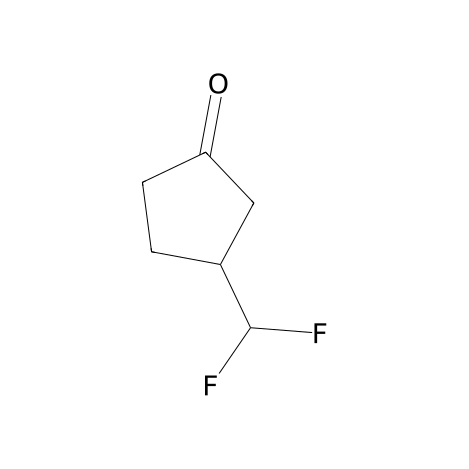 O=C1CCC(C(F)F)C1